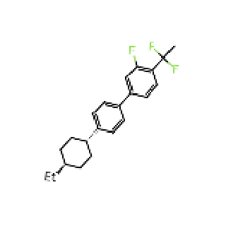 CC[C@H]1CC[C@H](c2ccc(-c3ccc(C(C)(F)F)c(F)c3)cc2)CC1